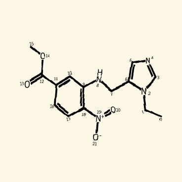 CCn1cncc1CNc1cc(C(=O)OC)ccc1[N+](=O)[O-]